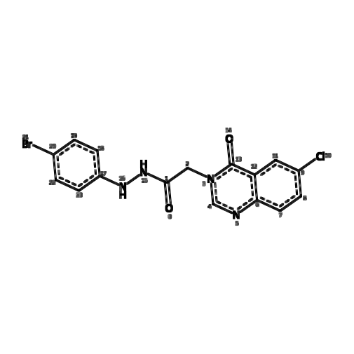 O=C(Cn1cnc2ccc(Cl)cc2c1=O)NNc1ccc(Br)cc1